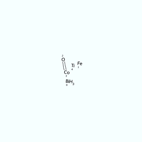 [BiH3].[Fe].[O]=[Co].[Ti]